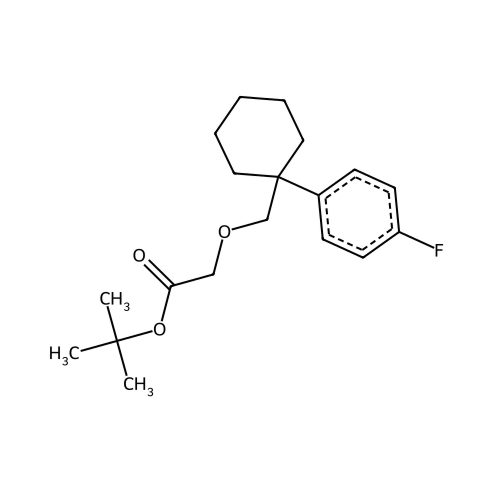 CC(C)(C)OC(=O)COCC1(c2ccc(F)cc2)CCCCC1